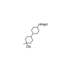 CCCCCCCC1CCC(C2CCC(C)(C#N)CC2)CC1